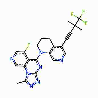 Cc1nnc2nc(N3CCCc4c(C#CC(C)(C)C(F)(F)F)cncc43)c3c(F)cncc3n12